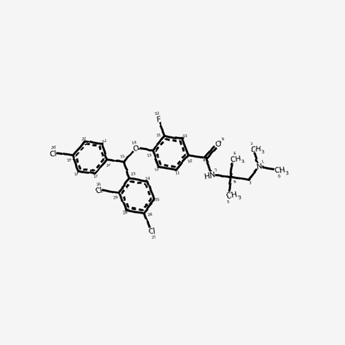 CN(C)CC(C)(C)NC(=O)c1ccc(OC(c2ccc(Cl)cc2)c2ccc(Cl)cc2Cl)c(F)c1